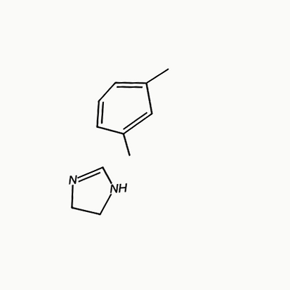 C1=NCCN1.Cc1cccc(C)c1